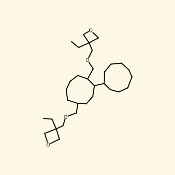 CCC1(COCC2CCCCC(COCC3(CC)COC3)C(C3CCCCCCCC3)CC2)COC1